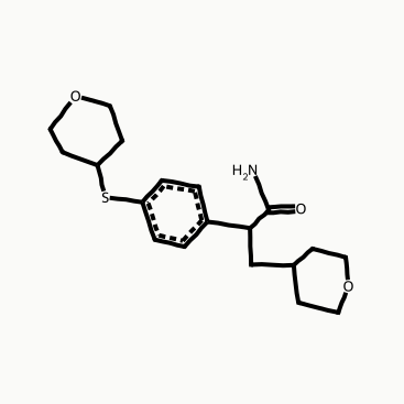 NC(=O)C(CC1CCOCC1)c1ccc(SC2CCOCC2)cc1